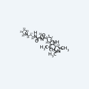 Cc1cc(-c2[nH]c3ccc(-c4nc(C(=O)NCCCN5CCCC5)co4)cc3c2C(C)C)cc(C)n1